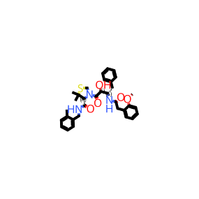 COc1ccccc1CC(=O)N[C@@H](Cc1ccccc1)[C@H](O)C(=O)N1CSC(C)(C)[C@H]1C(=O)NCc1ccccc1C